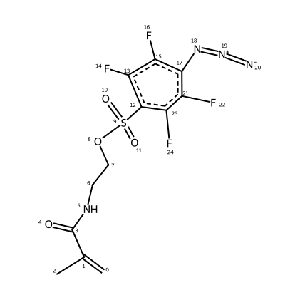 C=C(C)C(=O)NCCOS(=O)(=O)c1c(F)c(F)c(N=[N+]=[N-])c(F)c1F